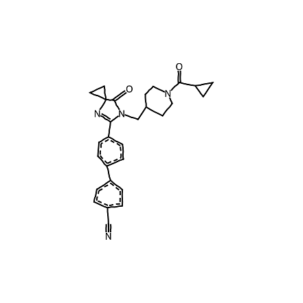 N#Cc1ccc(-c2ccc(C3=NC4(CC4)C(=O)N3CC3CCN(C(=O)C4CC4)CC3)cc2)cc1